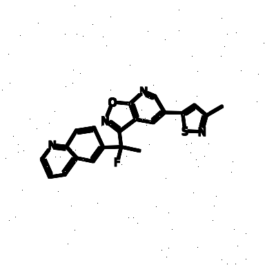 Cc1cc(-c2cnc3onc(C(C)(F)c4ccc5ncccc5c4)c3c2)sn1